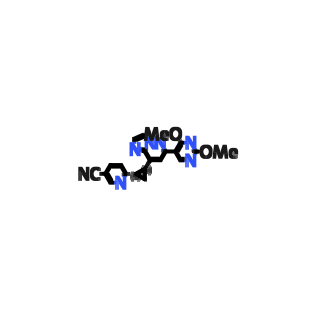 COc1ncc(-c2cc([C@H]3C[C@@H]3c3ccc(C#N)cn3)c3nccn3n2)c(OC)n1